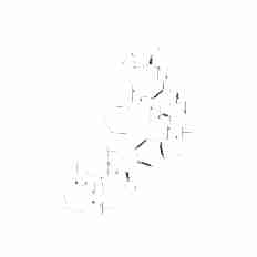 CN1C(=O)C2(CC2)CN(C2CCCCC2)c2nc(Nc3ccc(C(=O)NC4C[C@H]5CCC[C@@H](C4)N5C)cc3F)ncc21